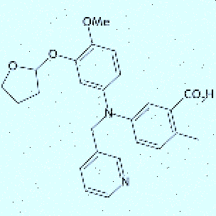 COc1ccc(N(Cc2cccnc2)c2ccc(C)c(C(=O)O)c2)cc1OC1CCCO1